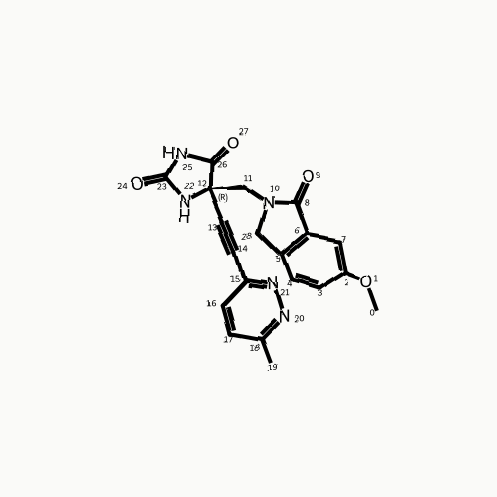 COc1ccc2c(c1)C(=O)N(C[C@@]1(C#Cc3ccc(C)nn3)NC(=O)NC1=O)C2